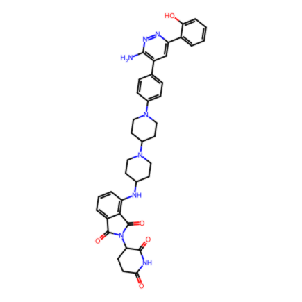 Nc1nnc(-c2ccccc2O)cc1-c1ccc(N2CCC(N3CCC(Nc4cccc5c4C(=O)N(C4CCC(=O)NC4=O)C5=O)CC3)CC2)cc1